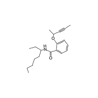 CC#CC(C)Oc1ccccc1C(=O)NC(CC)CCCCC